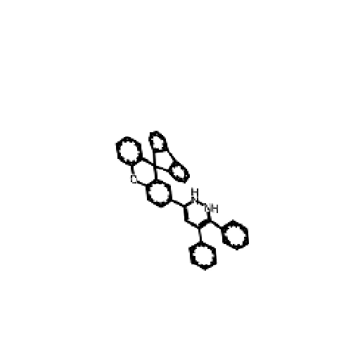 C1=C(c2ccc3c(c2)C2(c4ccccc4O3)c3ccccc3-c3ccccc32)NNC(c2ccccc2)=C1c1ccccc1